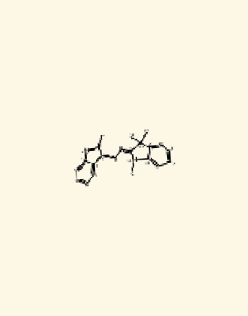 CC1=Nc2ccccc2/C1=C/C=C1\N(C)c2ccccc2C1(C)C